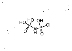 O=[P](O)(O)[AlH][P](=O)(O)O